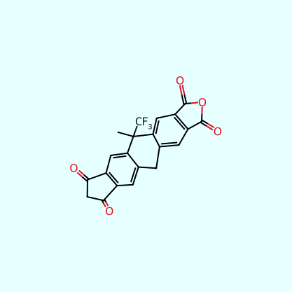 CC1(C(F)(F)F)c2cc3c(cc2Cc2cc4c(cc21)C(=O)OC4=O)C(=O)CC3=O